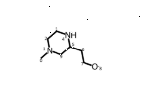 CN1CCNC(CC[O])C1